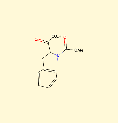 COC(=O)NC(Cc1ccccc1)C(=O)C(=O)O